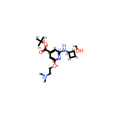 CN(C)CCOc1cc(C(=O)OC(C)(C)C)cc(NC2CCC2)n1.CO